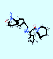 O=C([C@H](NCc1ccc2[nH]c(=O)ccc2c1)c1ccccc1)N1CCCCC1